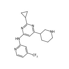 FC(F)(F)c1ccnc(Nc2cc(C3CCCNC3)nc(C3CC3)n2)c1